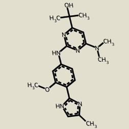 COc1cc(Nc2nc(N(C)C)cc(C(C)(C)O)n2)ccc1-c1nc(C)c[nH]1